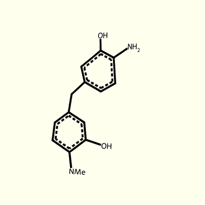 CNc1ccc(Cc2ccc(N)c(O)c2)cc1O